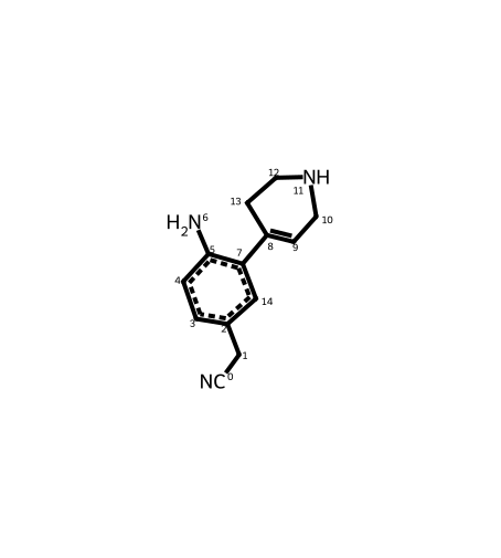 N#CCc1ccc(N)c(C2=CCNCC2)c1